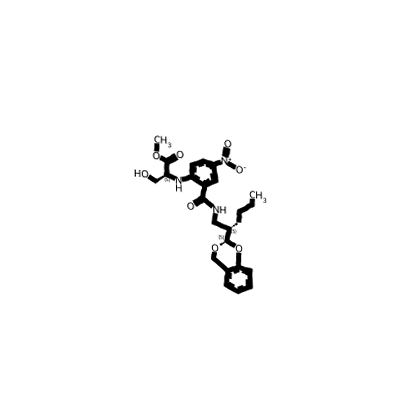 CCCC[C@@H](CNC(=O)c1cc([N+](=O)[O-])ccc1N[C@@H](CO)C(=O)OC)[C@H]1OCc2ccccc2O1